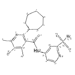 Cc1nc(C2CCCCCC2)c(C(=O)Nc2ccnc(S(N)(=O)=O)c2)c(C)c1Cl